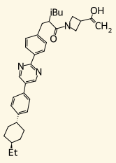 C=C(O)C1CN(C(=O)C(Cc2ccc(-c3ncc(-c4ccc([C@H]5CC[C@H](CC)CC5)cc4)cn3)cc2)C(C)CC)C1